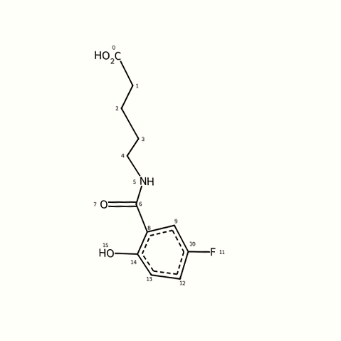 O=C(O)CCCCNC(=O)c1cc(F)ccc1O